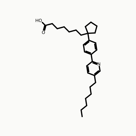 CCCCCCCc1ccc(-c2ccc(C3(CCCCCCC(=O)O)CCCC3)cc2)nc1